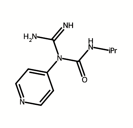 CC(C)NC(=O)N(C(=N)N)c1ccncc1